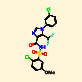 COc1ccc(Cl)c(S(=O)(=O)NC(=O)c2ncn(-c3cccc(Cl)c3)c2C(F)F)c1